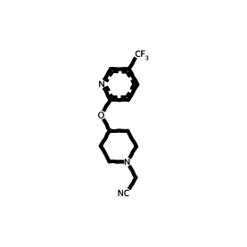 N#CCN1CCC(Oc2ccc(C(F)(F)F)cn2)CC1